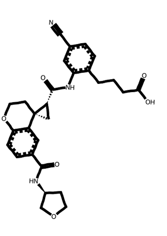 N#Cc1ccc(CCCC(=O)O)c(NC(=O)[C@@H]2C[C@]23CCOc2ccc(C(=O)N[C@H]4CCOC4)cc23)c1